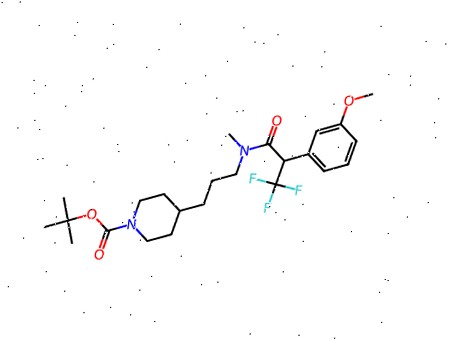 COc1cccc(C(C(=O)N(C)CCCC2CCN(C(=O)OC(C)(C)C)CC2)C(F)(F)F)c1